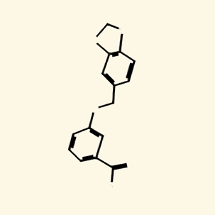 NC(=O)c1cccc(OCc2ccc3c(c2)OCO3)c1